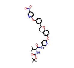 CC(C)[C@H](NC(=O)OC(C)(C)C)C(=O)Nc1ccc(Oc2ccc3c(c2)CCC(c2cccc(Oc4ccc([N+](=O)[O-])cn4)c2)O3)nc1